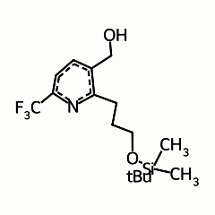 CC(C)(C)[Si](C)(C)OCCCc1nc(C(F)(F)F)ccc1CO